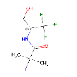 CC(C)(I)C(=O)N[C@H](CO)C(F)(F)F